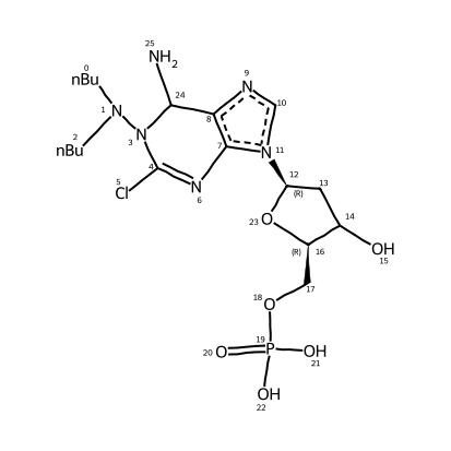 CCCCN(CCCC)N1C(Cl)=Nc2c(ncn2[C@H]2CC(O)[C@@H](COP(=O)(O)O)O2)C1N